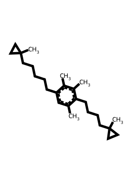 Cc1cc(CCCCCC2(C)CC2)c(C)c(C)c1CCCCC1(C)CC1